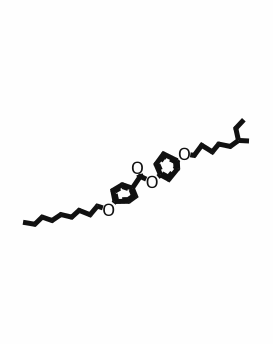 CCCCCCCCCOc1ccc(C(=O)Oc2ccc(OCCCCCC(C)CC)cc2)cc1